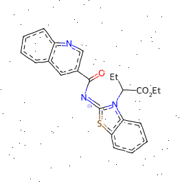 CCOC(=O)C(CC)n1/c(=N\C(=O)c2cnc3ccccc3c2)sc2ccccc21